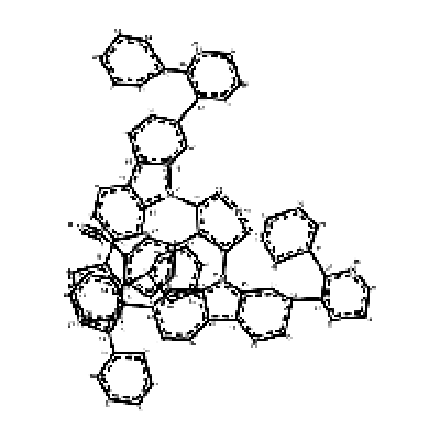 N#Cc1cccc(-c2c(-n3c4cc(-c5cccnc5-c5ccccc5)ccc4c4ccc(-c5cccnc5-c5ccccc5)cc43)cncc2-n2c3cc(-c4cccnc4-c4ccccc4)ccc3c3ccc(-c4cccnc4-c4ccccc4)cc32)c1